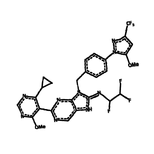 COc1ncnc(C2CC2)c1-c1ncc2[nH]c(=NC(F)C(F)F)n(Cc3ccc(-n4nc(C(F)(F)F)cc4OC)cc3)c2n1